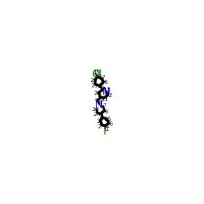 Fc1ccc(C2=CCN(Cc3ccnc(-c4ccc(Cl)cc4)c3)CC2)cc1